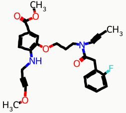 CC#CN(CCCOc1cc(C(=O)OC)ccc1NCC#COC)C(=O)Cc1ccccc1F